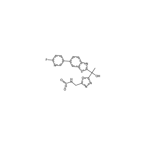 CC(O)(c1nnc(CN[SH](=O)=O)o1)c1nc2ccc(-c3ccc(F)nc3)cc2s1